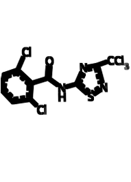 O=C(Nc1nc(C(Cl)(Cl)Cl)ns1)c1c(Cl)cccc1Cl